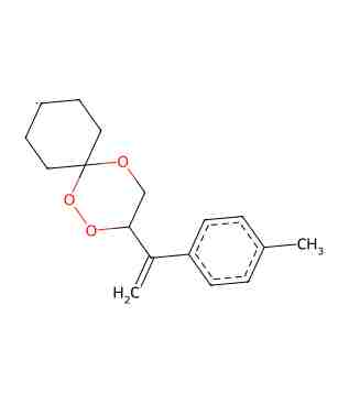 C=C(c1ccc(C)cc1)C1COC2(CC[CH]CC2)OO1